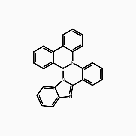 c1ccc2c(c1)B1N(c3ccccc3-2)c2ccccc2-c2nc3ccccc3n21